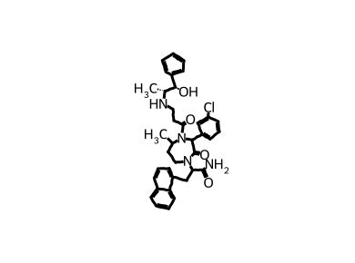 CC1CCN(C(Cc2cccc3ccccc23)C(N)=O)C(=O)C(c2cccc(Cl)c2)N1C(=O)CCN[C@H](C)[C@@H](O)c1ccccc1